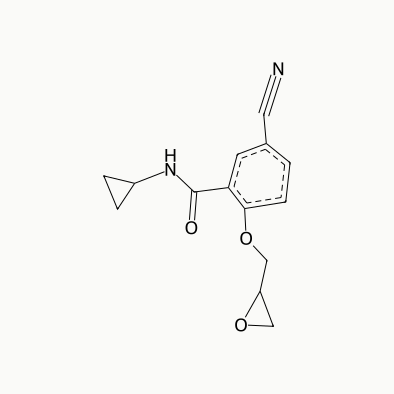 N#Cc1ccc(OCC2CO2)c(C(=O)NC2CC2)c1